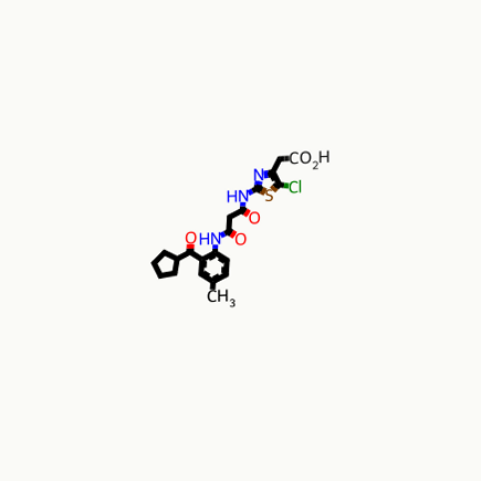 Cc1ccc(NC(=O)CC(=O)Nc2nc(CC(=O)O)c(Cl)s2)c(C(=O)C2CCCC2)c1